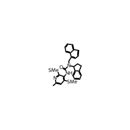 CSc1cc(C)nc(SC)c1NC(=O)N(Cc1cccc2ccccc12)C1CCc2ccccc21